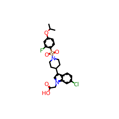 CC(C)Oc1ccc(S(=O)(=O)N2CCC(c3cn(CC(=O)O)c4cc(Cl)ccc34)CC2)c(F)c1